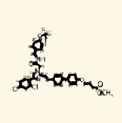 COC(=O)CCCOc1ccc(-c2ccc(/C=C/c3nc(-c4ccc(Cl)cc4Cl)cn3CC(=O)NCc3ccc(OC(F)(F)F)cc3)cc2)cc1